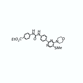 CCOC(=O)c1ccc(NC(=O)Nc2ccc(-c3ncc(SC)c(N4CCOCC4)n3)cc2)cc1